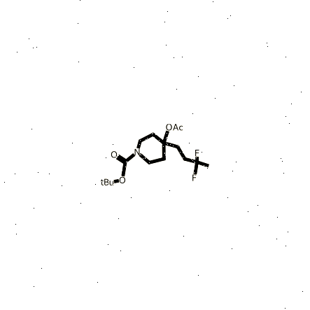 CC(=O)OC1(CCC(C)(F)F)CCN(C(=O)OC(C)(C)C)CC1